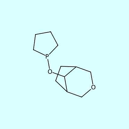 C1CCP(OC2C3CCC2COC3)C1